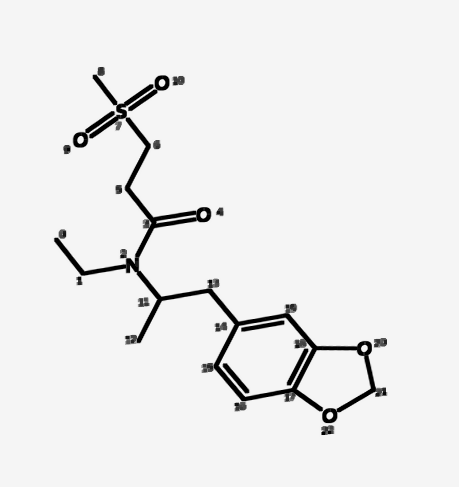 CCN(C(=O)CCS(C)(=O)=O)C(C)Cc1ccc2c(c1)OCO2